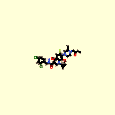 CCC(=O)CN1CCN(c2c(F)cc3c(=O)c(C(=O)NCc4ccc(Cl)cc4Cl)cn(C4CC4)c3c2OC)CC1C